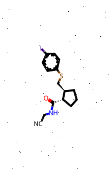 N#CCNC(=O)[C@H]1CCC[C@@H]1CSc1ccc(I)cc1